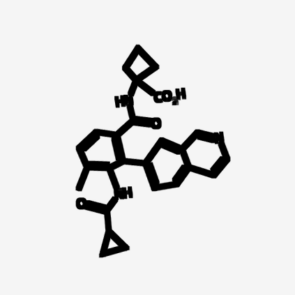 Cc1ccc(C(=O)NC2(C(=O)O)CCC2)c(-c2ccc3ccncc3c2)c1NC(=O)C1CC1